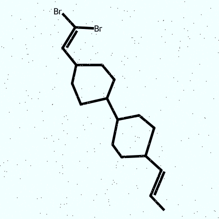 CC=CC1CCC(C2CCC(C=C(Br)Br)CC2)CC1